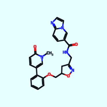 Cn1cc(-c2ccccc2OCC2CC(CNC(=O)c3ccc4nccn4c3)=NO2)ccc1=O